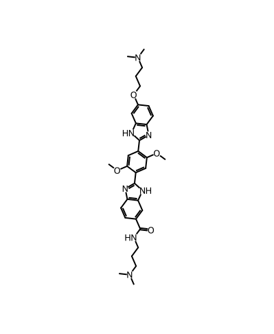 COc1cc(-c2nc3ccc(C(=O)NCCCN(C)C)cc3[nH]2)c(OC)cc1-c1nc2ccc(OCCCN(C)C)cc2[nH]1